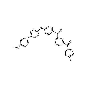 COc1ccc(-c2ccc(Oc3ccc(C(=O)c4cccc(C(=O)c5ccc(C)cc5)c4)cc3)cc2)cc1